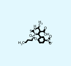 CCCCS(=O)(=O)N1C(=S)NC(C)C(C(=O)O)=C1c1cccc([N+](=O)[O-])c1